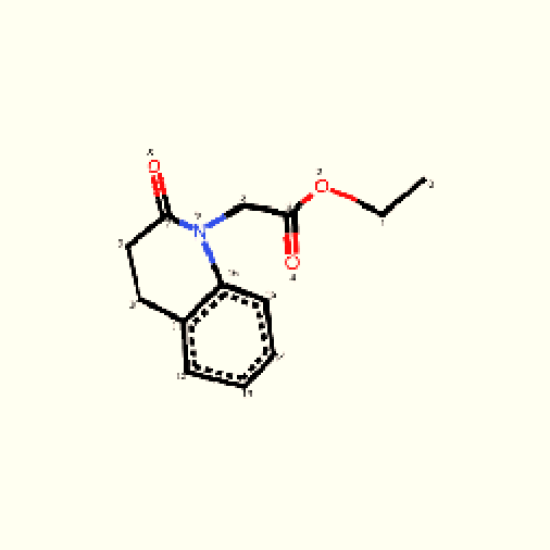 CCOC(=O)CN1C(=O)CCc2cc[c]cc21